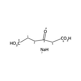 O=C(O)CCC(=O)CC(=O)O.[NaH]